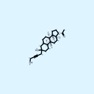 CC(=O)[C@H]1CC[C@H]2[C@@H]3CCC4CC(O)(CC#CCO)CC[C@]4(C)[C@H]3CC[C@]12C